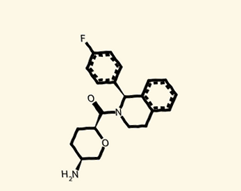 N[C@H]1CC[C@@H](C(=O)N2CCc3ccccc3[C@@H]2c2ccc(F)cc2)OC1